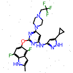 Cc1cc2c(F)c(Oc3nc(Nc4cc(C5CC5)[nH]n4)cc(N4CCN(CC(F)(F)F)CC4)n3)cc(F)c2[nH]1